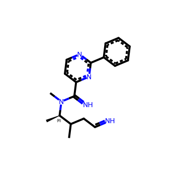 CC(CC=N)[C@@H](C)N(C)C(=N)c1ccnc(-c2ccccc2)n1